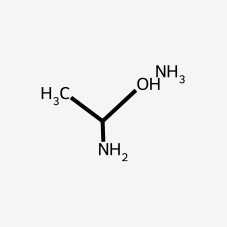 CC(N)O.N